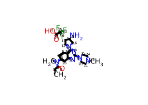 C=CC(=O)N(C)c1ccc2c(N3CC[C@@H](N)C3)nc(N3CCN(C)CC3)nc2c1.O=C(O)C(F)(F)F